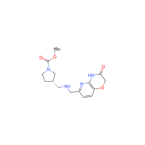 CC(C)(C)OC(=O)N1CC[C@@H](CNCc2ccc3c(n2)NC(=O)CO3)C1